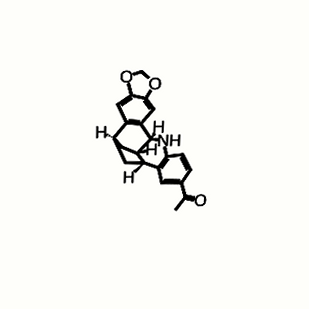 CC(=O)c1ccc2c(c1)[C@@H]1C[C@H]3C[C@@H]1[C@@H](N2)c1cc2c(cc13)OCO2